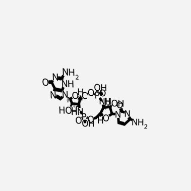 Nc1ccn(C2O[C@@H]3COP(=O)(O)N[C@H]4[C@@H](O)[C@H](n5cnc6c(=O)nc(N)[nH]c65)O[C@@H]4COP(=O)(O)N[C@H]3[C@H]2O)c(=O)n1